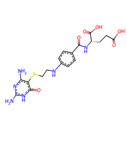 Nc1nc(N)c(SCCNc2ccc(C(=O)N[C@@H](CCC(=O)O)C(=O)O)cc2)c(=O)[nH]1